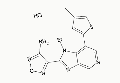 CCn1c(-c2nonc2N)nc2cncc(-c3cc(C)cs3)c21.Cl